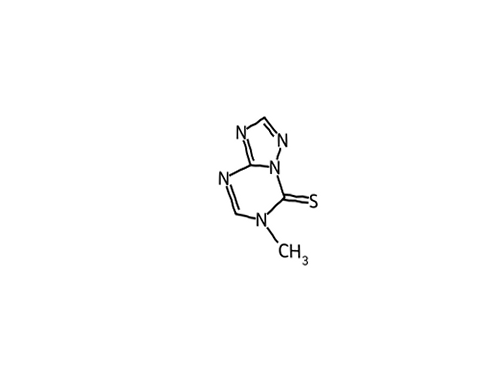 Cn1cnc2ncnn2c1=S